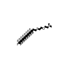 CN(C)CCOCCSCCC(F)(F)C(F)(F)C(F)(F)C(F)(F)C(F)(F)C(F)(F)C(F)(F)C(F)(F)F